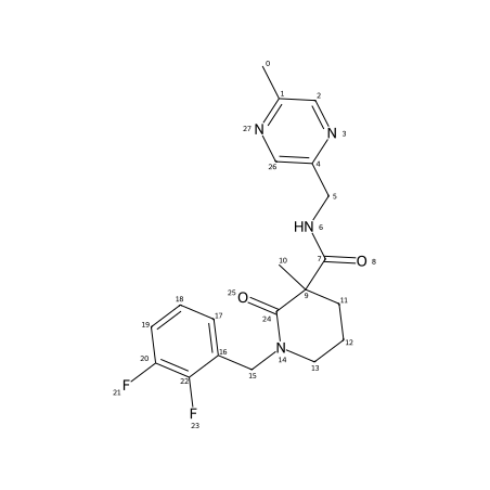 Cc1cnc(CNC(=O)C2(C)CCCN(Cc3cccc(F)c3F)C2=O)cn1